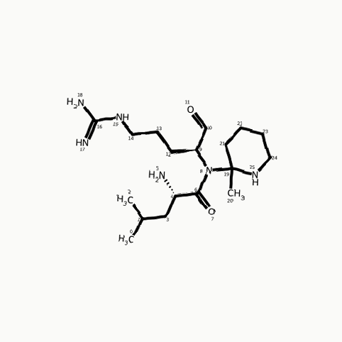 CC(C)C[C@H](N)C(=O)N([C@H](C=O)CCCNC(=N)N)C1(C)CCCCN1